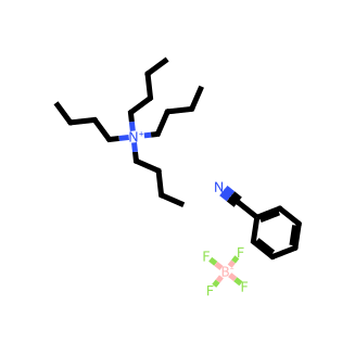 CCCC[N+](CCCC)(CCCC)CCCC.F[B-](F)(F)F.N#Cc1ccccc1